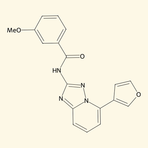 COc1cccc(C(=O)Nc2nc3cccc(-c4ccoc4)n3n2)c1